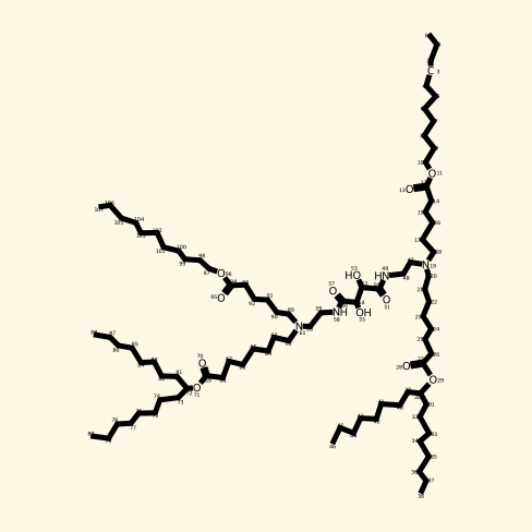 CCCCCCCCCCCOC(=O)CCCCCN(CCCCCCCC(=O)OC(CCCCCCCC)CCCCCCCC)CCNC(=O)C(O)C(O)C(=O)NCCN(CCCCCCCC(=O)OC(CCCCCCCC)CCCCCCCC)CCCCCC(=O)OCCCCCCCCCCC